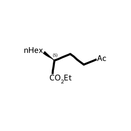 CCCCCC[C@@H](CCC(C)=O)C(=O)OCC